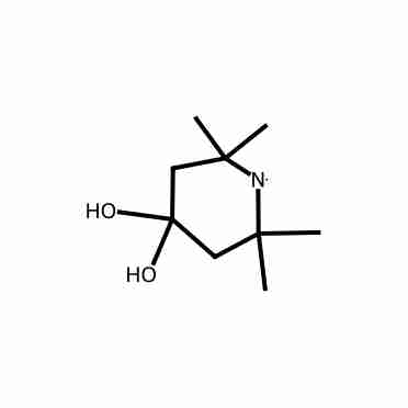 CC1(C)CC(O)(O)CC(C)(C)[N]1